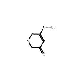 CCOC1=CC(=O)CSC1